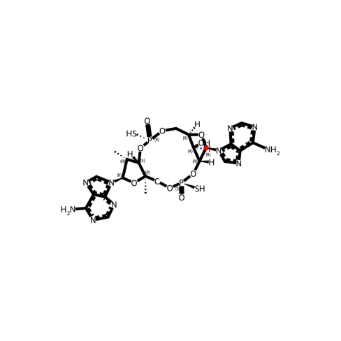 C[C@H]1[C@H](n2cnc3c(N)ncnc32)O[C@]2(C)CO[P@](=O)(S)O[C@@H]3[C@H](O)[C@@H](CO[P@@](=O)(S)O[C@@H]12)O[C@H]3n1cnc2c(N)ncnc21